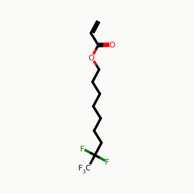 C=CC(=O)OCCCCCCCC(F)(F)C(F)(F)F